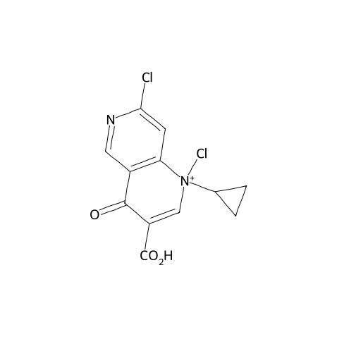 O=C(O)C1=C[N+](Cl)(C2CC2)c2cc(Cl)ncc2C1=O